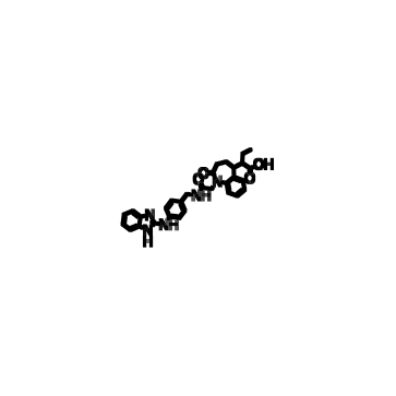 CCC(C(=O)O)C1CCC(=O)N(CC(=O)NCc2ccc(Nc3nc4ccccc4[nH]3)cc2)c2ccccc21